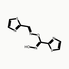 ON=C(ON=Cc1nccs1)c1nccs1